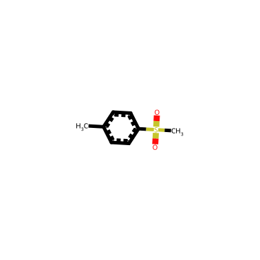 Cc1ccc(S(C)(=O)=O)cc1